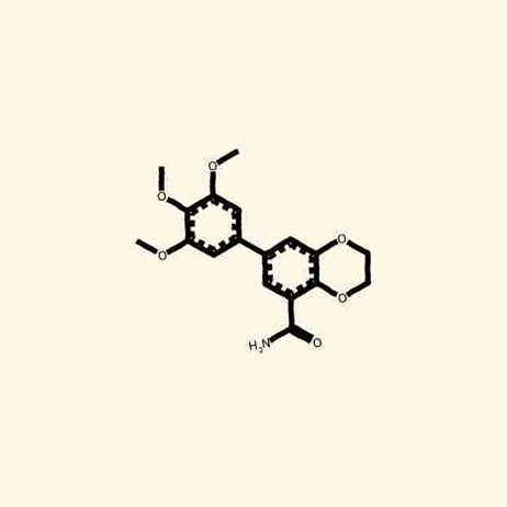 COc1cc(-c2cc3c(c(C(N)=O)c2)OCCO3)cc(OC)c1OC